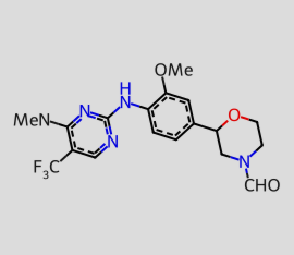 CNc1nc(Nc2ccc(C3CN(C=O)CCO3)cc2OC)ncc1C(F)(F)F